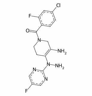 NC1=C(N(N)c2ncc(F)cn2)CCN(C(=O)c2ccc(Cl)cc2F)C1